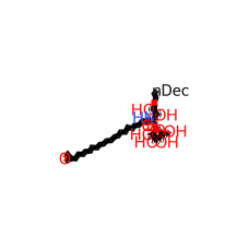 CCCCCCCCCCCCCC[C@@H](O)[C@@H](O)[C@H](CO[C@H]1O[C@H](CO)[C@H](O)[C@H](O)[C@H]1O)NC(=O)CCCCCCCCCCCCCCCCCCCCC1COC1